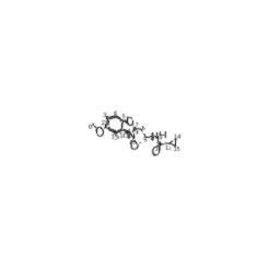 COc1ccc2oc(CCNC(=O)C3CC3)[n+]([O-])c2c1